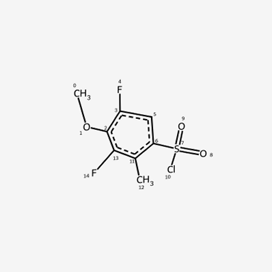 COc1c(F)cc(S(=O)(=O)Cl)c(C)c1F